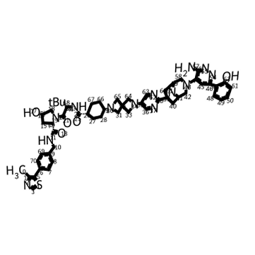 Cc1ncsc1-c1ccc(CNC(=O)[C@@H]2C[C@@H](O)CN2C(=O)[C@@H](NC(=O)[C@H]2CC[C@@H](N3CC4(CN(c5cnc(C67CC8CN(c9cc(-c%10ccccc%10O)nnc9N)CC(C6)N87)nc5)C4)C3)CC2)C(C)(C)C)cc1